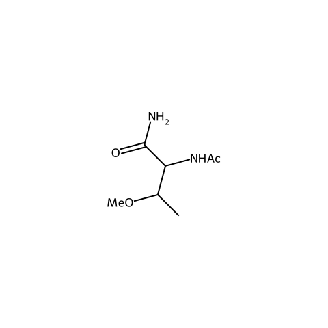 COC(C)C(NC(C)=O)C(N)=O